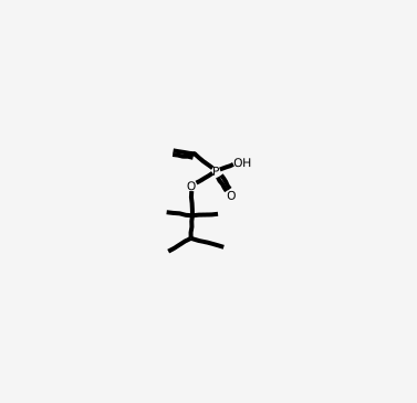 C=CP(=O)(O)OC(C)(C)C(C)C